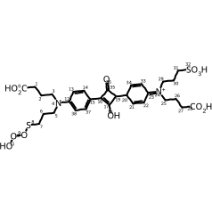 O=C(O)CCCN(CCCSOOO)c1ccc(C2=C(O)C(C3C=CC(=[N+](CCCC(=O)O)CCCS(=O)(=O)O)C=C3)C2=O)cc1